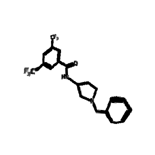 O=C(NC1CCN(Cc2ccccc2)C1)c1cc(C(F)(F)F)cc(C(F)(F)F)c1